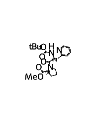 COC(=O)[C@@H]1CCCN1C(=O)[C@@H](Cc1ccccn1)NC(=O)OC(C)(C)C